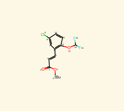 CC(C)(C)OC(=O)C=Cc1cc(Cl)ccc1OC(F)F